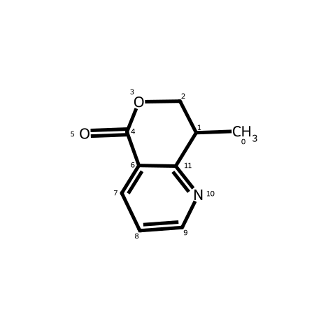 CC1COC(=O)c2cccnc21